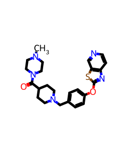 CN1CCN(C(=O)C2CCN(Cc3ccc(Oc4nc5ccncc5s4)cc3)CC2)CC1